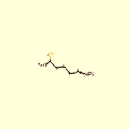 CC(=O)OC(S)CCCCC(C)C